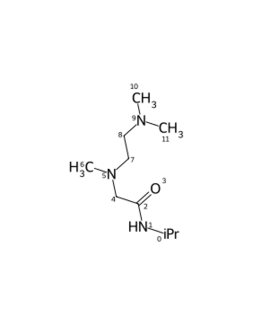 CC(C)NC(=O)CN(C)CCN(C)C